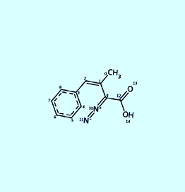 CC(=Cc1ccccc1)C(=[N+]=[N-])C(=O)O